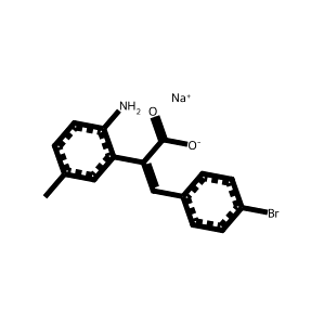 Cc1ccc(N)c(C(=Cc2ccc(Br)cc2)C(=O)[O-])c1.[Na+]